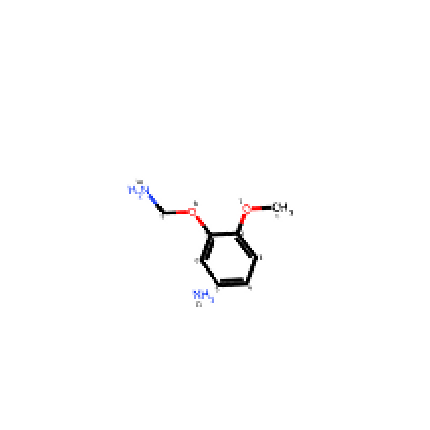 COc1ccccc1OCN.N